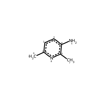 [CH2]c1ccc(N)c(C)n1